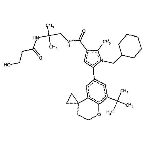 Cc1c(C(=O)NCC(C)(C)NC(=O)CCO)cc(-c2cc(C(C)(C)C)c3c(c2)C2(CCO3)CC2)n1CC1CCCCC1